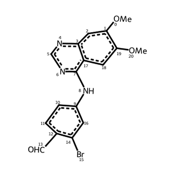 COc1cc2ncnc(Nc3ccc(C=O)c(Br)c3)c2cc1OC